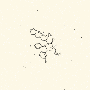 C[C@]1(CC(=O)O)CC(c2cccc(Cl)c2)[C@@H](c2ccc(Cl)cc2)N(C(CN(Cc2cccs2)S(C)(=O)=O)C2CC2)C1=O